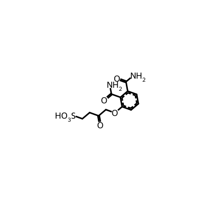 NC(=O)c1cccc(OCC(=O)CCS(=O)(=O)O)c1C(N)=O